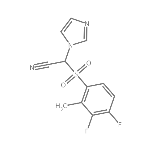 Cc1c(S(=O)(=O)C(C#N)n2ccnc2)ccc(F)c1F